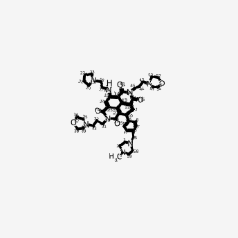 CN1CCN(Cc2ccc(-c3cc4c5c(c(NCCN6CCCC6)cc6c5c3C(=O)N(CCCN3CCOCC3)C6=O)C(=O)N(CCCN3CCOCC3)C4=O)cc2)CC1